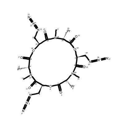 CC(C)[C@@H]1C(=O)O[C@@H](CN=[N+]=[N-])C(=O)N(C)[C@H](C(C)C)C(=O)O[C@@H](CN=[N+]=[N-])C(=O)N(C)[C@H](C(C)C)C(=O)O[C@@H](CN=[N+]=[N-])C(=O)N1C